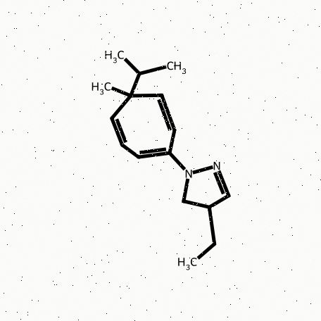 CCC1C=NN(C2=CC=CC(C)(C(C)C)C=C2)C1